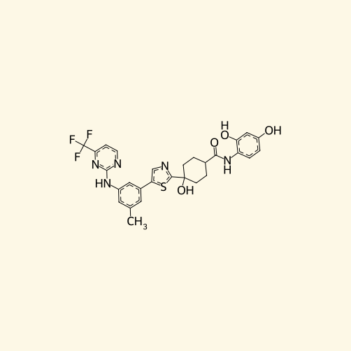 Cc1cc(Nc2nccc(C(F)(F)F)n2)cc(-c2cnc(C3(O)CCC(C(=O)Nc4ccc(O)cc4O)CC3)s2)c1